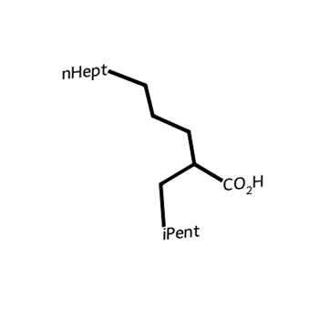 CCCCCCCCCCC(CC(C)CCC)C(=O)O